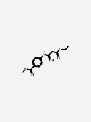 CCOC(=O)CC(=N)Nc1ccc(C(=O)OC)cc1